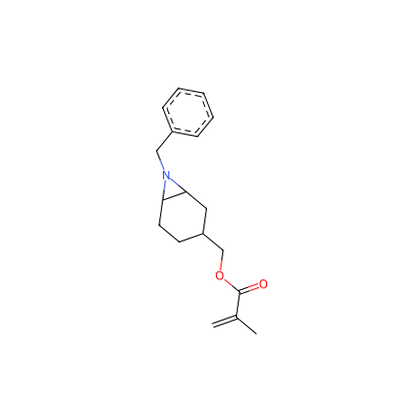 C=C(C)C(=O)OCC1CCC2C(C1)N2Cc1ccccc1